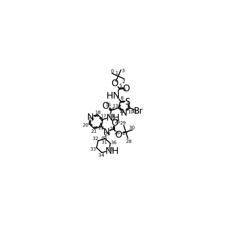 CC(C)(C)OC(=O)Nc1sc(Br)nc1C(=O)Nc1cnccc1N(C(=O)OC(C)(C)C)[C@H]1CCCNC1